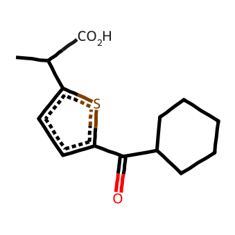 CC(C(=O)O)c1ccc(C(=O)C2CCCCC2)s1